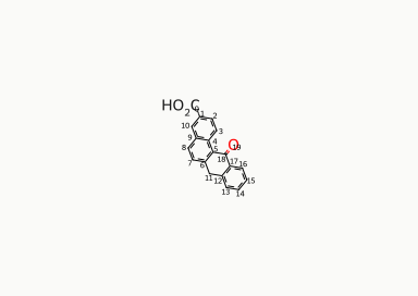 O=C(O)c1ccc2c3c(ccc2c1)Cc1ccccc1C3=O